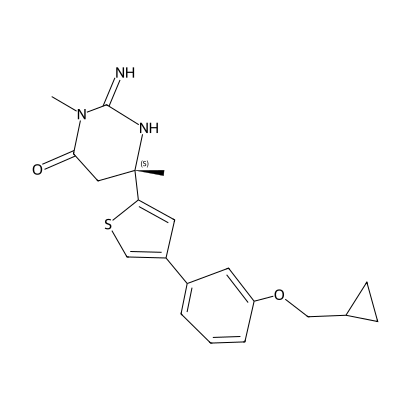 CN1C(=N)N[C@](C)(c2cc(-c3cccc(OCC4CC4)c3)cs2)CC1=O